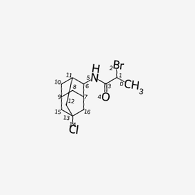 CC(Br)C(=O)NC1C2CC3CC1CC(Cl)(C3)C2